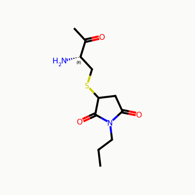 CCCN1C(=O)CC(SC[C@H](N)C(C)=O)C1=O